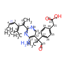 C=C(C(/C=C\C)=C(C)C)c1ncc(C(C)(C=O)c2ccc(CC(=O)O)cc2)c(N)n1